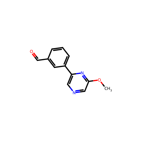 COc1cncc(-c2cccc(C=O)c2)n1